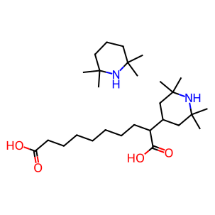 CC1(C)CC(C(CCCCCCCC(=O)O)C(=O)O)CC(C)(C)N1.CC1(C)CCCC(C)(C)N1